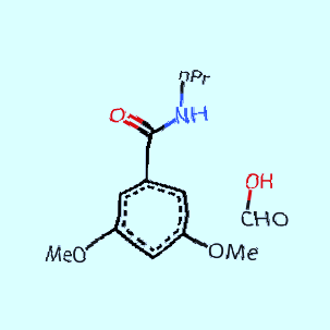 CCCNC(=O)c1cc(OC)cc(OC)c1.O=CO